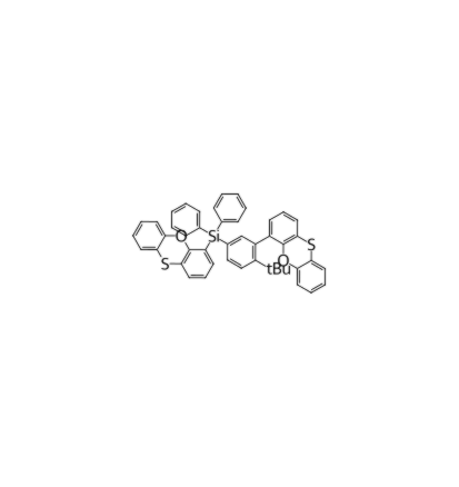 CC(C)(C)c1ccc([Si](c2ccccc2)(c2ccccc2)c2cccc3c2Oc2ccccc2S3)cc1-c1cccc2c1Oc1ccccc1S2